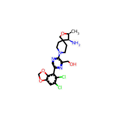 C[C@@H]1OCC2(CCN(c3ncc(-c4c(Cl)c(Cl)cc5c4OCO5)nc3CO)CC2)[C@@H]1N